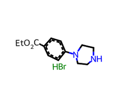 Br.CCOC(=O)c1ccc(N2CCNCC2)cc1